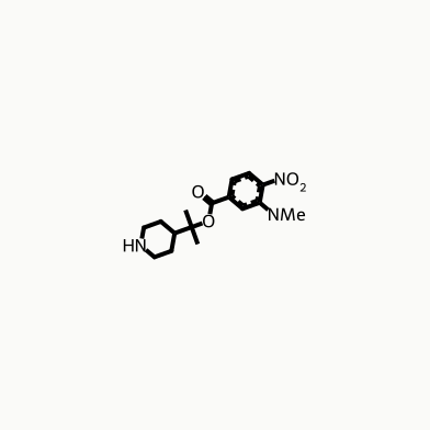 CNc1cc(C(=O)OC(C)(C)C2CCNCC2)ccc1[N+](=O)[O-]